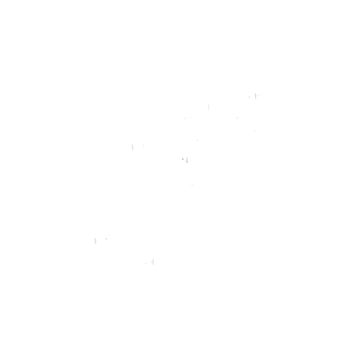 CC1CC2C(CC1O)C(=O)N(C(=O)OC(C)(C)C)C2C